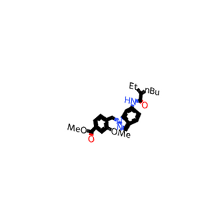 CCCCC(CC)C(=O)Nc1ccc2cnn(Cc3ccc(C(=O)OC)cc3OC)c2c1